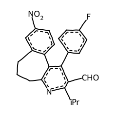 CC(C)c1nc2c(c(-c3ccc(F)cc3)c1C=O)-c1ccc([N+](=O)[O-])cc1CCC2